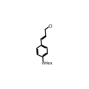 CCCCCCc1ccc(C=CCCl)cc1